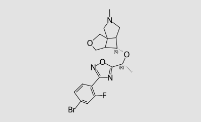 C[C@@H](O[C@@H]1C2COCC23CN(C)CC13)c1nc(-c2ccc(Br)cc2F)no1